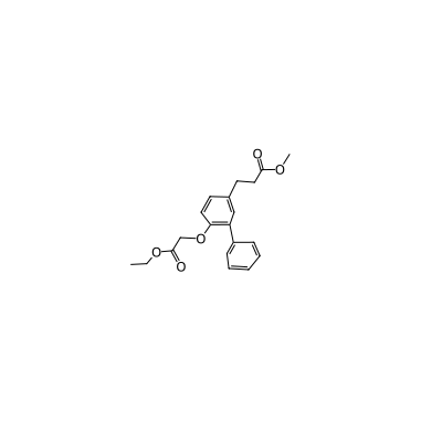 CCOC(=O)COc1ccc(CCC(=O)OC)cc1-c1ccccc1